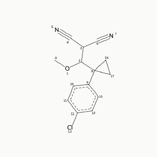 COC(C(C#N)C#N)C1(c2ccc(Cl)cc2)CC1